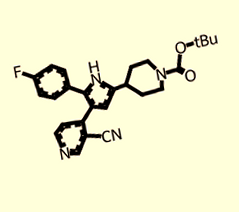 CC(C)(C)OC(=O)N1CCC(c2cc(-c3ccncc3C#N)c(-c3ccc(F)cc3)[nH]2)CC1